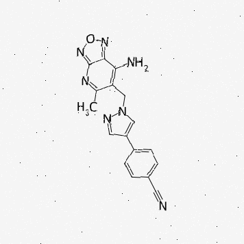 Cc1nc2nonc2c(N)c1Cn1cc(-c2ccc(C#N)cc2)cn1